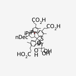 CCCCCCCCCCCCC(c1cc(C)c(CCC(=O)O)cc1C(C)C)C(C(=S)OCC(CO)(CO)CO)(c1cc(C)c(CCC(=O)O)cc1C(C)C)c1cc(C)c(CCC(=O)O)cc1C(C)C